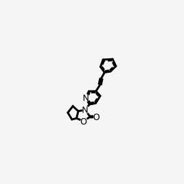 O=C1OC2CCCC2N1c1ccc(C#Cc2ccccc2)cn1